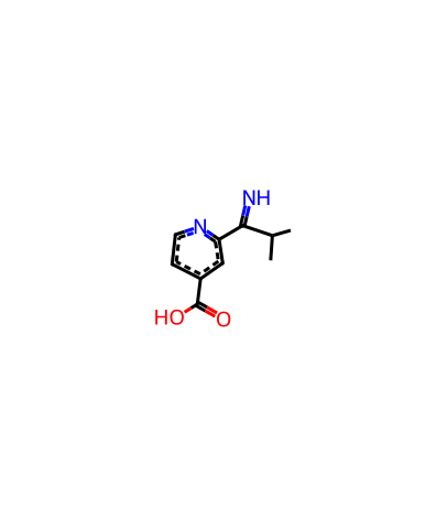 CC(C)C(=N)c1cc(C(=O)O)ccn1